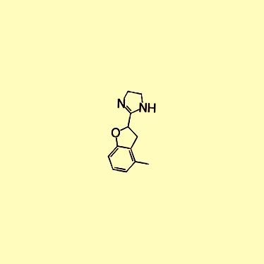 Cc1cccc2c1CC(C1=NCCN1)O2